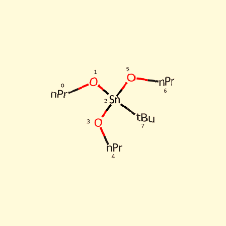 CCC[O][Sn]([O]CCC)([O]CCC)[C](C)(C)C